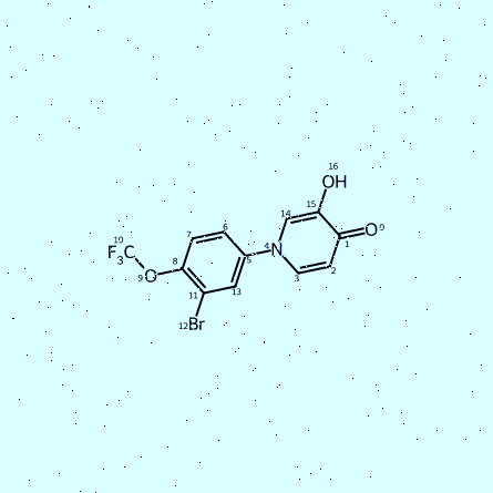 O=c1ccn(-c2ccc(OC(F)(F)F)c(Br)c2)cc1O